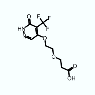 O=C(O)CCOCCOc1cn[nH]c(=O)c1C(F)(F)F